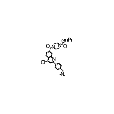 CCCOC(=O)N1CCN(C(=O)c2ccc3c(Cl)cc(-c4ccc(CN(C)C)cc4)nc3c2)CC1